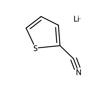 N#Cc1cccs1.[Li]